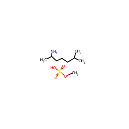 CC(C)CCCC(C)N.COS(=O)(=O)O